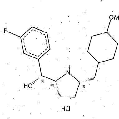 COC1CCC(C[C@@H]2CC[C@H]([C@H](O)c3cccc(F)c3)N2)CC1.Cl